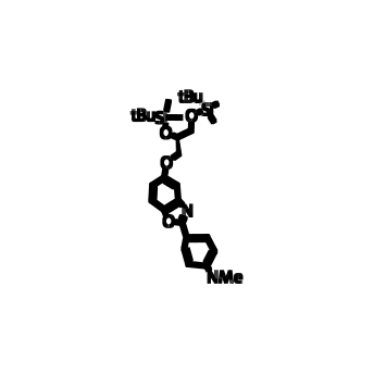 CNc1ccc(-c2nc3cc(OC[C@H](CO[Si](C)(C)C(C)(C)C)O[Si](C)(C)C(C)(C)C)ccc3o2)cc1